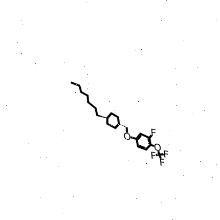 CCCCCCC[C@H]1CC[C@H](COc2ccc(OC(F)(F)F)c(F)c2)CC1